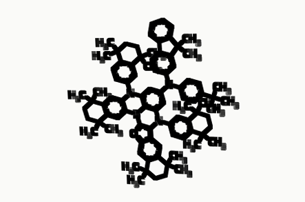 CC(C)(C)c1ccc(N(c2cc3c4c(c2)N(c2ccc5c(c2)C(C)(C)CCC5(C)C)c2c(oc5cc6c(cc25)C(C)(C)CCC6(C)C)B4c2cc4c(cc2N3c2ccc3c(c2)C(C)(C)CCC3(C)C)C(C)(C)CCC4(C)C)c2ccc3c(c2)C(C)(C)c2ccccc2-3)cc1